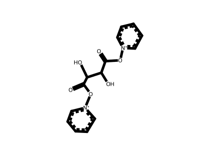 O=C(O[n+]1ccccc1)C(O)C(O)C(=O)O[n+]1ccccc1